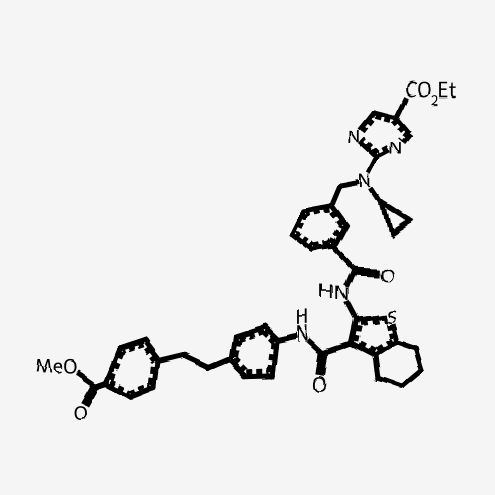 CCOC(=O)c1cnc(N(Cc2cccc(C(=O)Nc3sc4c(c3C(=O)Nc3ccc(CCc5ccc(C(=O)OC)cc5)cc3)CCCC4)c2)C2CC2)nc1